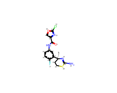 C[C@@]1(c2cc(NC(=O)c3coc(Cl)n3)ccc2F)CCSC(N)=N1